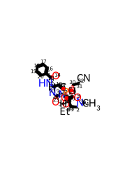 CC[C@@]12CN(C)O[C@@H]([C@H](n3ccc(NC(=O)c4ccccc4)nc3=O)O1)[C@@H]2OP(C)OCCC#N